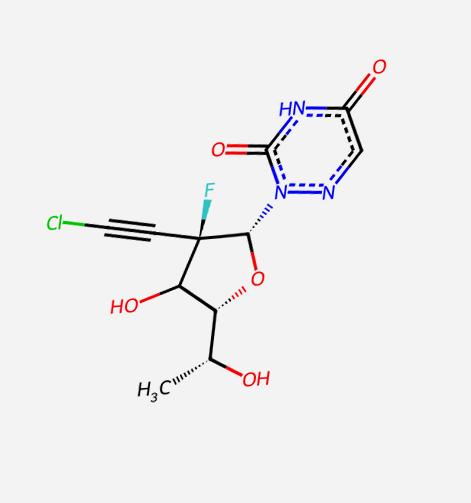 C[C@@H](O)[C@H]1O[C@@H](n2ncc(=O)[nH]c2=O)[C@@](F)(C#CCl)C1O